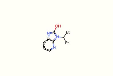 CCC(CC)n1c(O)nc2cccnc21